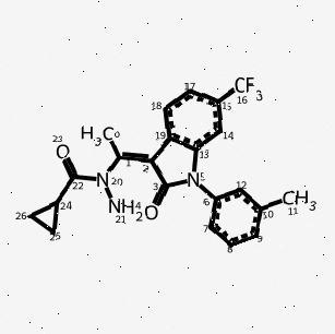 C/C(=C1/C(=O)N(c2cccc(C)c2)c2cc(C(F)(F)F)ccc21)N(N)C(=O)C1CC1